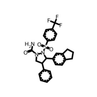 NC(=O)N1CC(c2ccccc2)C(c2ccc3c(c2)CCC3)N1S(=O)(=O)c1ccc(C(F)(F)F)cc1